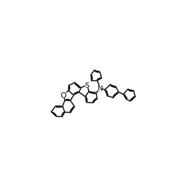 c1ccc(-c2ccc(N(c3ccccc3)c3cccc4c3sc3ccc5oc6c7ccccc7ccc6c5c34)cc2)cc1